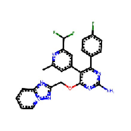 Cc1cc(-c2c(OCc3nc4ccccn4n3)nc(N)nc2-c2ccc(F)cc2)cc(C(F)F)n1